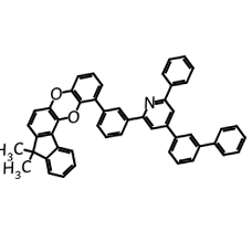 CC1(C)c2ccccc2-c2c1ccc1c2Oc2c(cccc2-c2cccc(-c3cc(-c4cccc(-c5ccccc5)c4)cc(-c4ccccc4)n3)c2)O1